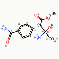 CC(C)(C)OC(=O)[C@@H](c1ccc(C(N)=O)cc1)[C@@](N)(O)C(=O)O